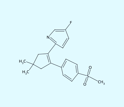 CC1(C)CC(c2ccc(S(C)(=O)=O)cc2)=C(c2ccc(F)cn2)C1